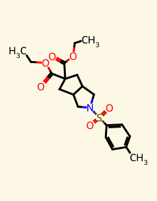 CCOC(=O)C1(C(=O)OCC)CC2CN(S(=O)(=O)c3ccc(C)cc3)CC2C1